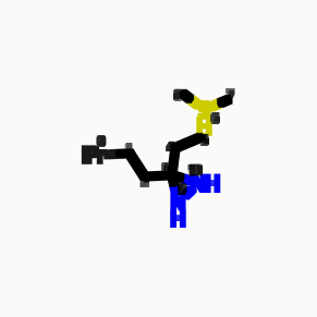 CC(C)CCC1(CC[SH](C)C)NN1